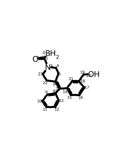 BC(=O)N1CCC(=C(c2ccccc2)c2cccc(CO)c2)CC1